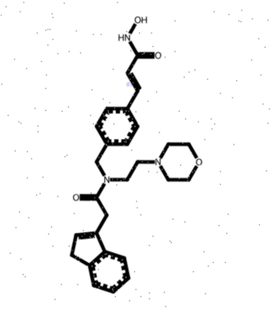 O=C(/C=C/c1ccc(CN(CCN2CCOCC2)C(=O)CC2=CCc3ccccc32)cc1)NO